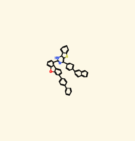 c1ccc(-c2ccc(-c3ccc4c(c3)oc3cccc(C5=NC(c6ccc(-c7ccc8ccccc8c7)cc6)=C6Sc7ccccc7C6N5)c34)cc2)cc1